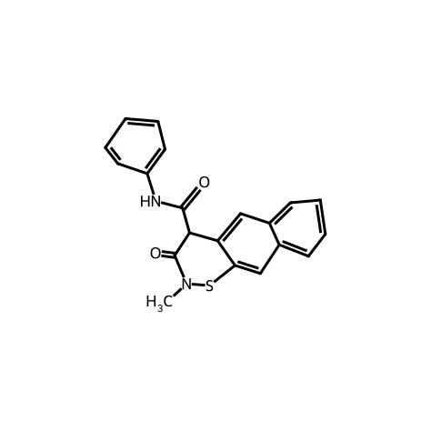 CN1Sc2cc3ccccc3cc2C(C(=O)Nc2ccccc2)C1=O